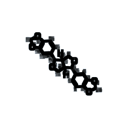 c1cc2c(cc1[C@@H]1OC[C@@H]3[C@H]1CO[C@H]3c1ccc3c(c1)OCO3)OCO2